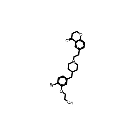 O=C1CCOc2ccc(CCN3CCC(Cc4ccc(Br)c(OCCO)c4)CC3)cc21